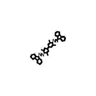 CC1=CC(=C2C=C(C)C(=NN=C3c4ccccc4-c4ccccc43)C(C)=C2)C=C(C)C1=NN=C1c2ccccc2-c2ccccc21